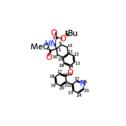 COC(=O)C1(NC(=O)OC(C)(C)C)CCc2ccc(Oc3ccccc3-c3cccnc3)cc2C1